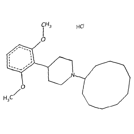 COc1cccc(OC)c1C1CCN(C2CCCCCCCCC2)CC1.Cl